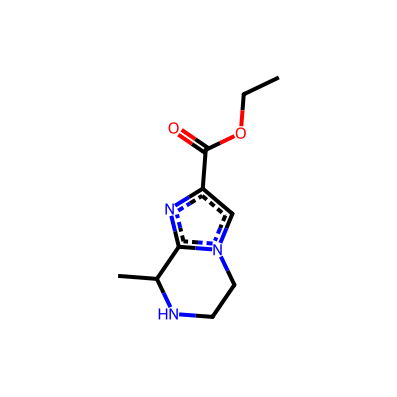 CCOC(=O)c1cn2c(n1)C(C)NCC2